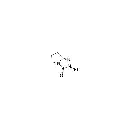 CCn1nc2n(c1=O)CCC2